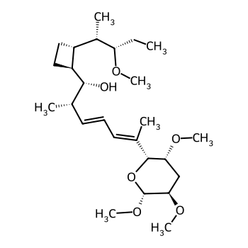 CC[C@H](OC)[C@@H](C)[C@H]1CC[C@@H]1[C@H](O)[C@@H](C)/C=C/C=C(\C)[C@H]1O[C@@H](OC)[C@H](OC)C[C@H]1OC